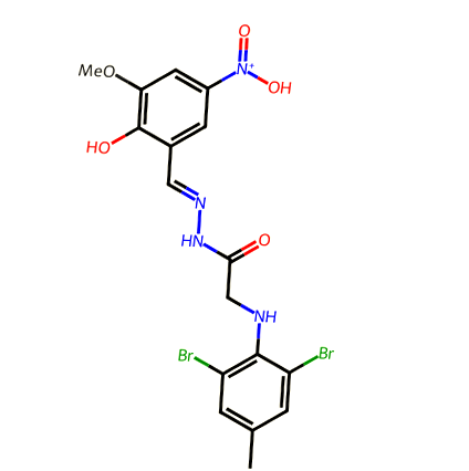 COc1cc([N+](=O)O)cc(/C=N/NC(=O)CNc2c(Br)cc(C)cc2Br)c1O